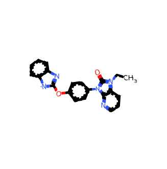 CCn1c(=O)n(-c2ccc(OC3=Nc4ccccc4[N]3)cc2)c2ncccc21